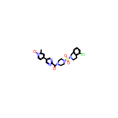 Cc1cc(-c2cnc(C(=O)N3CCN(S(=O)(=O)N4CCc5c(Cl)cccc5C4)CC3)nc2)cc[n+]1[O-]